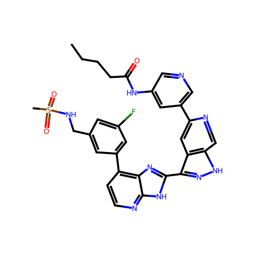 CCCCC(=O)Nc1cncc(-c2cc3c(-c4nc5c(-c6cc(F)cc(CNS(C)(=O)=O)c6)ccnc5[nH]4)n[nH]c3cn2)c1